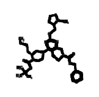 COCC[C@H]1CN(c2nc(OCC3CCCN3C)nc3c2CCN(C(=O)OCc2ccccc2)C3)CCN1C(=O)OC(C)(C)C